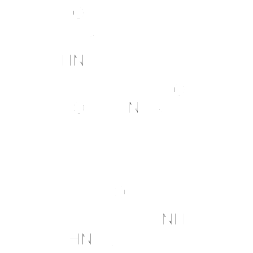 O=C1CC[C@H](N2Cc3c(ccc4c3OC3(CNC3)CN4)C2=O)C(=O)N1